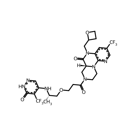 C[C@@H](COCCC(=O)N1CCN2c3ncc(C(F)(F)F)cc3N(CC3CCO3)C(=O)[C@H]2C1)Nc1cn[nH]c(=O)c1C(F)(F)F